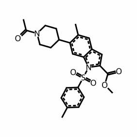 COC(=O)c1cc2cc(C)c(C3CCN(C(C)=O)CC3)cc2n1S(=O)(=O)c1ccc(C)cc1